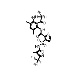 [2H]c1c(C)cc(C)c(NC(=O)c2sccc2S(=O)(=O)Nc2onc(C([2H])([2H])[2H])c2C)c1C(=O)C([2H])([2H])[2H]